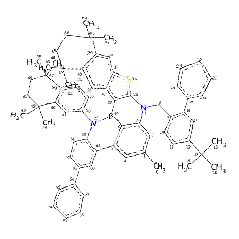 Cc1cc2c3c(c1)N(Cc1ccc(C(C)(C)C)cc1-c1ccccc1)c1sc4cc5c(cc4c1B3N(c1ccc3c(c1)C(C)(C)CCC3(C)C)c1ccc(-c3ccccc3)cc1-2)C(C)(C)CCC5(C)C